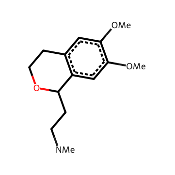 CNCCC1OCCc2cc(OC)c(OC)cc21